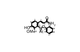 COc1c(O)ccc(C=CC(N)=O)c1N(Oc1ccccc1)C(C)=O